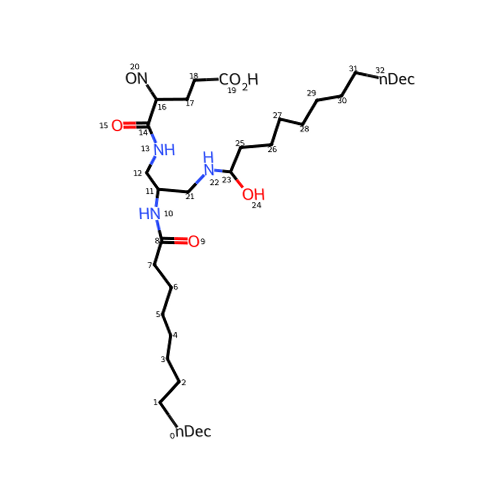 CCCCCCCCCCCCCCCCCC(=O)NC(CNC(=O)C(CCC(=O)O)N=O)CNC(O)CCCCCCCCCCCCCCCCC